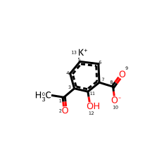 CC(=O)c1cccc(C(=O)[O-])c1O.[K+]